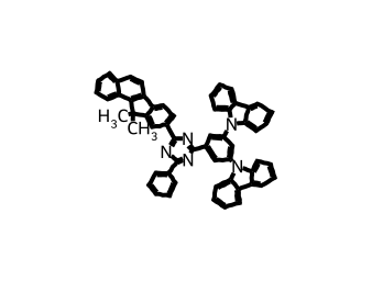 CC1(C)c2cc(-c3nc(-c4ccccc4)nc(-c4cc(-n5c6ccccc6c6ccccc65)cc(-n5c6ccccc6c6ccccc65)c4)n3)ccc2-c2ccc3ccccc3c21